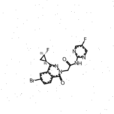 O=C(Cn1nc([C@H]2C[C@@H]2F)c2cc(Br)ccc2c1=O)Nc1ncc(F)cn1